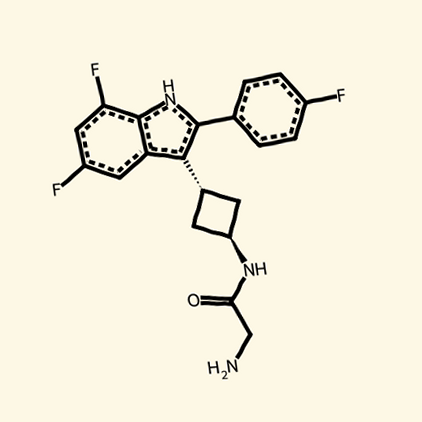 NCC(=O)N[C@H]1C[C@H](c2c(-c3ccc(F)cc3)[nH]c3c(F)cc(F)cc32)C1